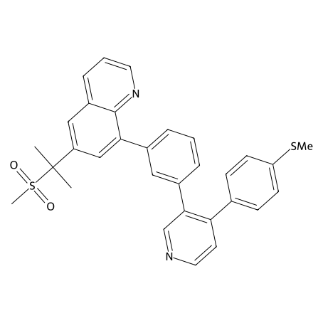 CSc1ccc(-c2ccncc2-c2cccc(-c3cc(C(C)(C)S(C)(=O)=O)cc4cccnc34)c2)cc1